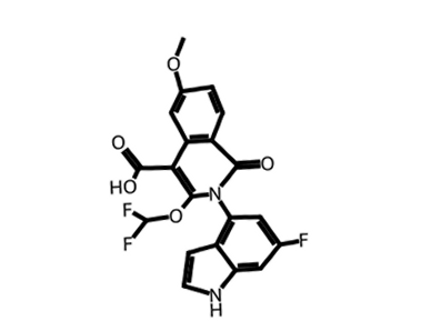 COc1ccc2c(=O)n(-c3cc(F)cc4[nH]ccc34)c(OC(F)F)c(C(=O)O)c2c1